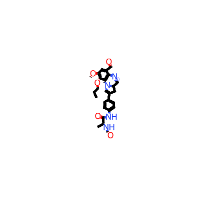 CCCOc1cc(/N=C\C2CC(c3ccc(NC(=O)C(C)NC=O)cc3)=CN2C)c(C=O)cc1OC